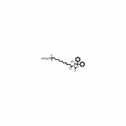 CCCCCCCC(F)(F)CCCCCC/C=C/CC(=O)N1C(=S)OC(c2ccccc2)(c2ccccc2)C1C(C)C